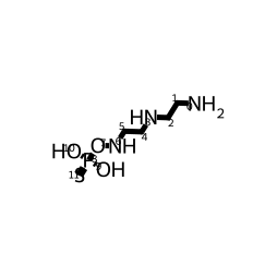 NCCNCCNOP(O)(O)=S